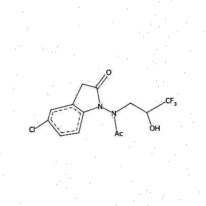 CC(=O)N(CC(O)C(F)(F)F)N1C(=O)Cc2cc(Cl)ccc21